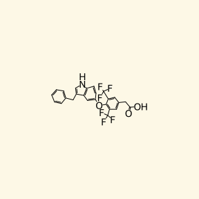 O=C(O)Cc1cc(C(F)(F)F)c(Oc2ccc3[nH]cc(Cc4ccccc4)c3c2)c(C(F)(F)F)c1